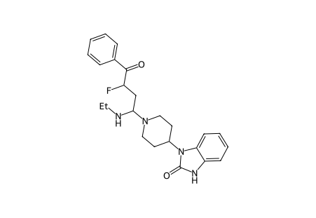 CCNC(CC(F)C(=O)c1ccccc1)N1CCC(n2c(=O)[nH]c3ccccc32)CC1